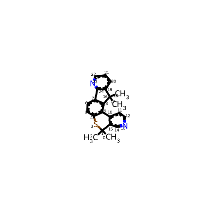 CC1(C)Sc2ccc3c(c2-c2ccncc21)C(C)(C)c1cccnc1-3